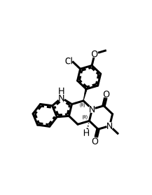 COc1ccc([C@@H]2c3[nH]c4ccccc4c3C[C@@H]3C(=O)N(C)CC(=O)N23)cc1Cl